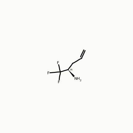 C=CC[C@@H](N)C(F)(F)F